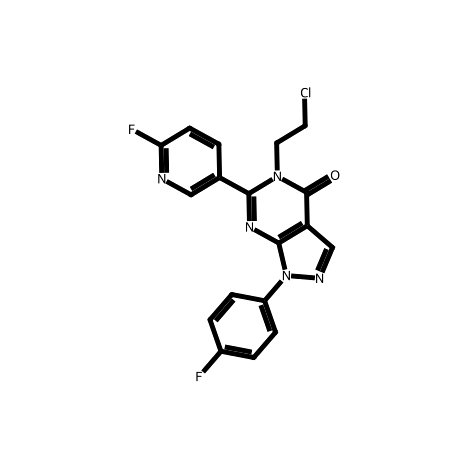 O=c1c2cnn(-c3ccc(F)cc3)c2nc(-c2ccc(F)nc2)n1CCCl